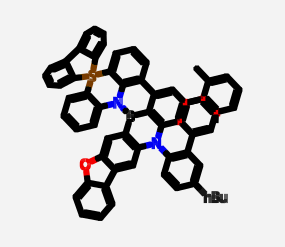 CCCCc1ccc(N2c3cc4c(cc3B3c5c(cc(-c6c(C)cccc6C)cc52)-c2cccc5c2N3c2ccccc2S52c3ccccc3-c3ccccc32)oc2ccccc24)c(-c2ccccc2)c1